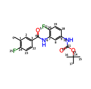 Cc1cc(C(=O)Nc2cc(NC(=O)OC(C)(C)C)ccc2F)ccc1F